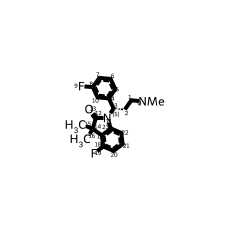 CNCC[C@@H](c1cccc(F)c1)N1C(=O)C(C)(C)c2c(F)cccc21